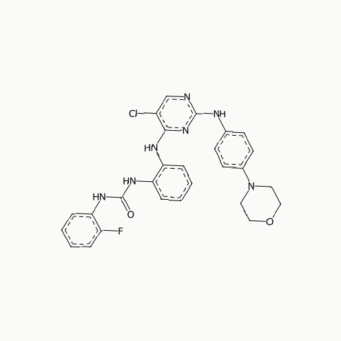 O=C(Nc1ccccc1F)Nc1ccccc1Nc1nc(Nc2ccc(N3CCOCC3)cc2)ncc1Cl